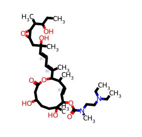 CCC(O)C(C)C1OC1CC(C)(O)/C=C/C=C(\C)C1OC(=O)CC(O)CCC(C)(O)C(OC(=O)N(C)CCN(CC)CC)/C=C/C1C